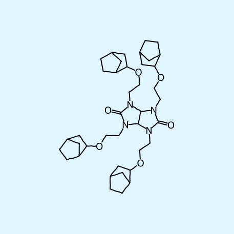 O=C1N(CCOC2CC3CCC2C3)C2C(N1CCOC1CC3CCC1C3)N(CCOC1CC3CCC1C3)C(=O)N2CCOC1CC2CCC1C2